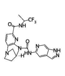 CC(NC(=O)c1ccc2c(n1)N(C(=O)Nc1cc3cn[nH]c3cn1)[C@H]1CCN2C1)C(F)(F)F